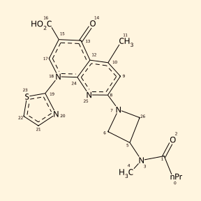 CCCC(=O)N(C)C1CN(c2cc(C)c3c(=O)c(C(=O)O)cn(-c4nccs4)c3n2)C1